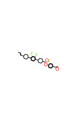 C/C=C/C1CCC(c2ccc(C3CCC(C(=O)Oc4ccc(C5CO5)cc4F)CC3)c(F)c2F)CC1